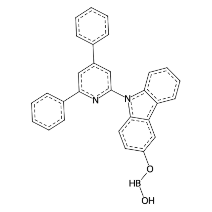 OBOc1ccc2c(c1)c1ccccc1n2-c1cc(-c2ccccc2)cc(-c2ccccc2)n1